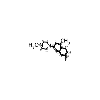 Cc1cc(N2CCN(C)CC2)nc2cc(F)ccc12